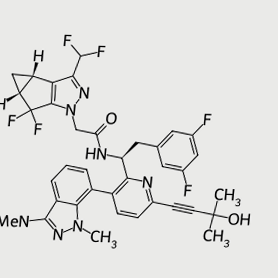 CNc1nn(C)c2c(-c3ccc(C#CC(C)(C)O)nc3[C@H](Cc3cc(F)cc(F)c3)NC(=O)Cn3nc(C(F)F)c4c3C(F)(F)[C@@H]3C[C@H]43)cccc12